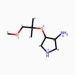 COCC(C)(C)OC1CNCC1N